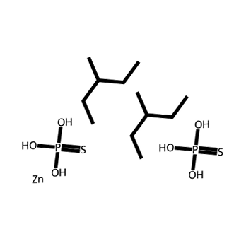 CCC(C)CC.CCC(C)CC.OP(O)(O)=S.OP(O)(O)=S.[Zn]